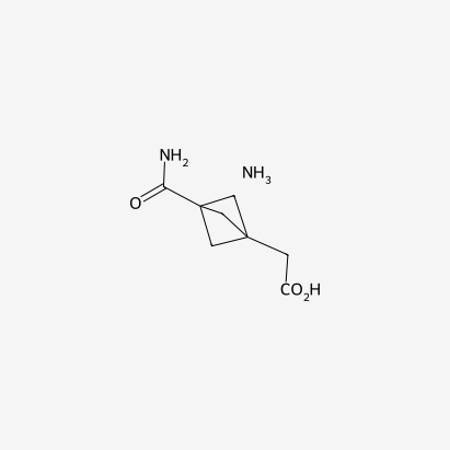 N.NC(=O)C12CC(CC(=O)O)(C1)C2